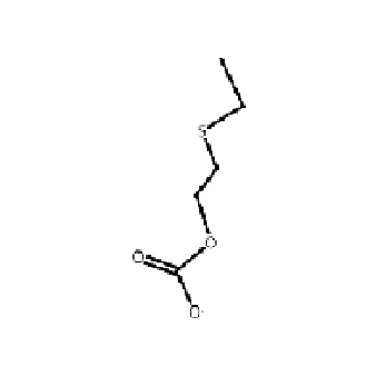 CCSCCOC([O])=O